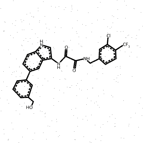 O=C(NCc1ccc(C(F)(F)F)c(Cl)c1)C(=O)Nc1c[nH]c2ccc(-c3cccc(CO)c3)cc12